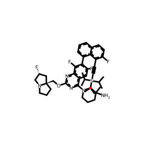 CC(C)[Si](C#Cc1c(F)ccc2cccc(-c3c(F)cc4c(N5CCCC(C)(N)C5)nc(OC[C@@]56CCCN5C[C@H](F)C6)nc4c3F)c12)(C(C)C)C(C)C